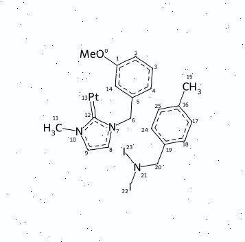 COc1cccc(Cn2ccn(C)[c]2=[Pt])c1.Cc1ccc(CN(I)I)cc1